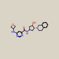 O=C(NC1C[C@@H](O)[C@H](N2CCc3ccccc3C2)C1)c1cc(NC2COC2)ncn1